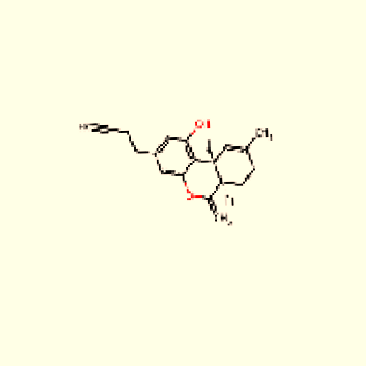 C#CCCc1cc(O)c2c(c1)OC(=C)[C@@H]1CCC(C)=C[C@@H]21